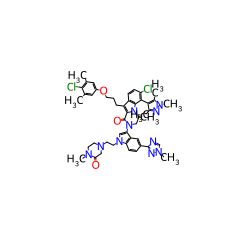 Cc1cc(OCCCc2c3n(c4c(-c5c(C)nn(C)c5C)c(Cl)ccc24)[C@H](C)CN(c2cn(CCN4CCN(C)C(=O)C4)c4ccc(-c5ncn(C)n5)cc24)C3=O)cc(C)c1Cl